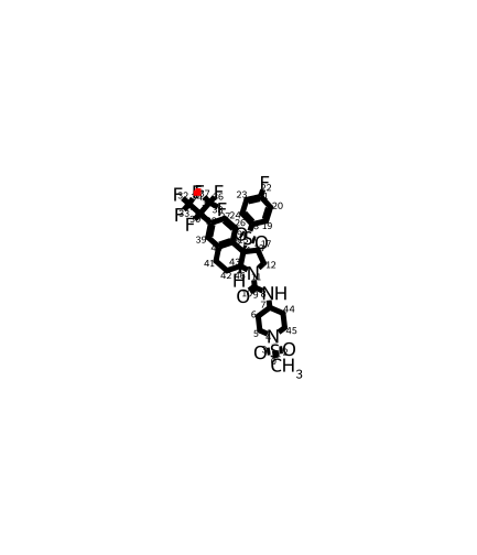 CS(=O)(=O)N1CCC(NC(=O)N2CC[C@@]3(S(=O)(=O)c4ccc(F)cc4)c4ccc(C(F)(C(F)(F)F)C(F)(F)F)cc4CC[C@@H]23)CC1